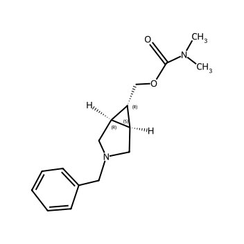 CN(C)C(=O)OC[C@@H]1[C@H]2CN(Cc3ccccc3)C[C@@H]12